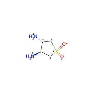 N[C@@H]1CS(=O)(=O)C[C@H]1N